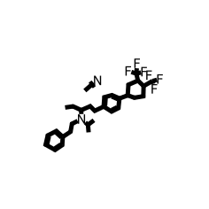 CC#N.CCC(CCc1ccc(C2CCC(C(F)(F)F)C(C(F)(F)F)C2)cc1)N(CCc1ccccc1)C(C)C